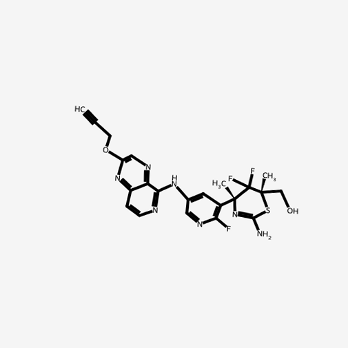 C#CCOc1cnc2c(Nc3cnc(F)c([C@@]4(C)N=C(N)S[C@@](C)(CO)C4(F)F)c3)nccc2n1